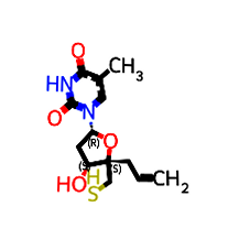 C=CC[C@]1(CS)O[C@@H](n2cc(C)c(=O)[nH]c2=O)C[C@@H]1O